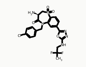 CC(F)(F)CNc1nnc(-c2ccc3c(c2)N(Cc2ccc(Cl)cc2)C(=O)[C@@H](N)CS3(=O)=O)o1